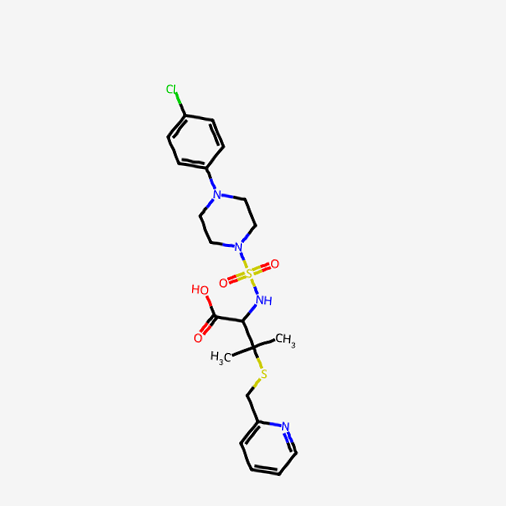 CC(C)(SCc1ccccn1)C(NS(=O)(=O)N1CCN(c2ccc(Cl)cc2)CC1)C(=O)O